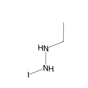 CCNNI